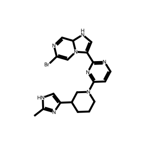 Cc1nc(C2CCCN(c3ccnc(C4=CNC5C=NC(Br)=CN45)n3)C2)c[nH]1